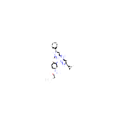 CCC(=O)Nc1ccc(Sc2nc(Nc3cc(C4CC4)n[nH]3)cc(-c3ccccc3)n2)cc1